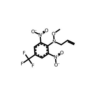 C=CCN(OC)c1c([N+](=O)[O-])cc(C(F)(F)F)cc1[N+](=O)[O-]